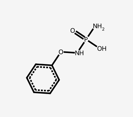 NP(=O)(O)NOc1ccccc1